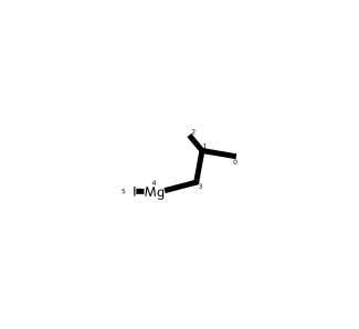 CC(C)[CH2][Mg][I]